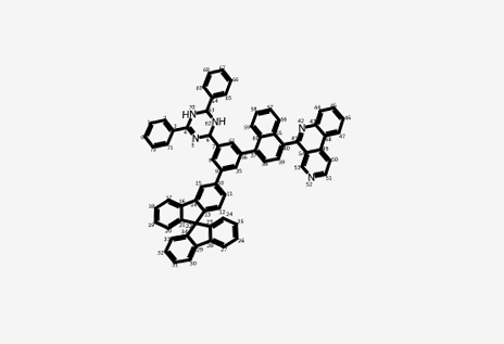 c1ccc(C2=NC(c3cc(-c4ccc5c(c4)-c4ccccc4C54c5ccccc5-c5ccccc54)cc(-c4ccc(-c5nc6ccccc6c6ccncc56)c5ccccc45)c3)NC(c3ccccc3)N2)cc1